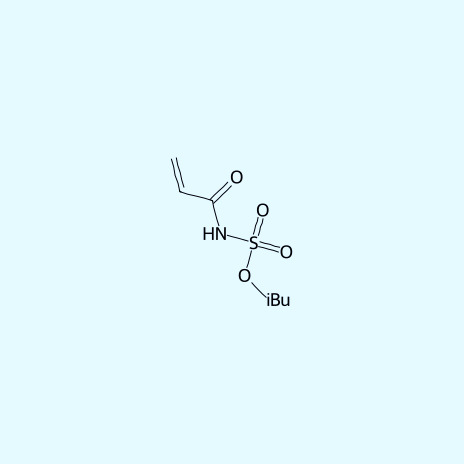 C=CC(=O)NS(=O)(=O)OC(C)CC